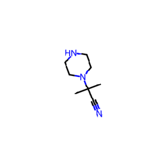 CC(C)(C#N)N1CCNCC1